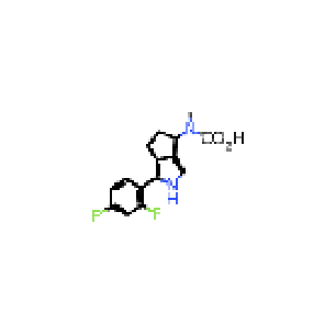 CN(C(=O)O)C1CCc2c1c[nH]c2-c1ccc(F)cc1F